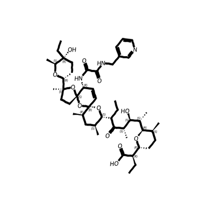 CCC(C(=O)[C@@H](C)[C@@H](O)[C@H](C)[C@@H]1O[C@@H]([C@@H](CC)C(=O)O)CC[C@@H]1C)[C@H]1O[C@]2(C=C[C@@H](NC(=O)C(=O)NCc3cccnc3)[C@]3(CC[C@@](C)([C@H]4CC[C@](O)(CC)[C@H](C)O4)O3)O2)[C@H](C)C[C@@H]1C